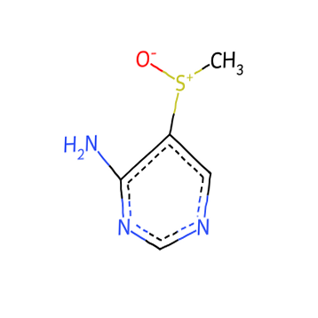 C[S+]([O-])c1cncnc1N